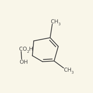 CC1=CCCC(C)=C1.O=C(O)O